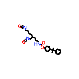 CC(C)(c1ccccc1)c1ccc(OC(=O)NCCCC(CCCCN=C=O)CN=C=O)cc1